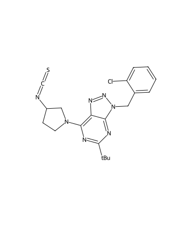 CC(C)(C)c1nc(N2CCC(N=C=S)C2)c2nnn(Cc3ccccc3Cl)c2n1